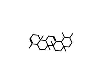 CC1=CCCC2(C)C1CCC1(C)C2CC=C2C3C(C)C(C)CCC3(C)CCC21C